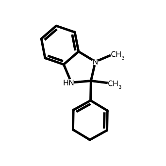 CN1c2ccccc2NC1(C)C1=CCCC=C1